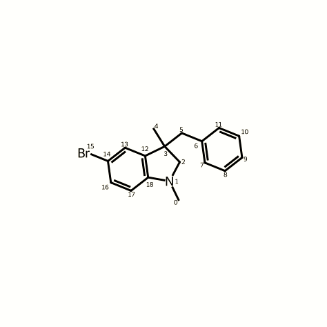 CN1CC(C)(Cc2ccccc2)c2cc(Br)ccc21